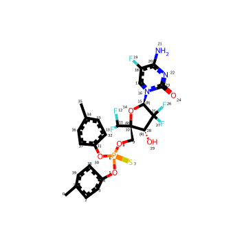 Cc1ccc(OP(=S)(OC[C@@]2(C(F)F)O[C@@H](n3cc(F)c(N)nc3=O)C(F)(F)[C@@H]2O)Oc2ccc(C)cc2)cc1